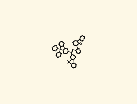 CC1(C)c2ccccc2-c2ccc(/C(=C\c3ccccc3-c3cccc4c3sc3ccccc34)c3ccc4c(c3)-c3ccccc3C4(c3ccccc3)c3ccccc3)cc21